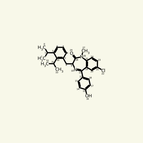 CC(C)c1cccc(CC2N=C(c3ccc(O)cc3)c3cc(Cl)ccc3N(C)C2=O)c1C(C)C